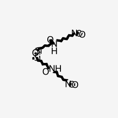 C[Si](C)(CCCCC(=O)NCCCCCCN=C=O)O[Si](C)(C)CCCCC(=O)NCCCCCCN=C=O